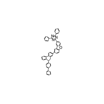 c1ccc(-c2ccc(C3Cc4cc(-c5ccc6oc7ccc(-c8nc(-c9ccccc9)nc(-c9ccccc9)n8)cc7c6c5)ccc4-c4ccccc43)cc2)cc1